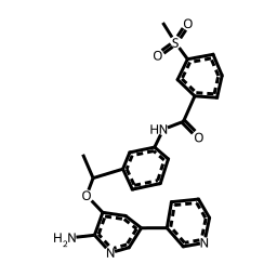 CC(Oc1cc(-c2cccnc2)cnc1N)c1cccc(NC(=O)c2cccc(S(C)(=O)=O)c2)c1